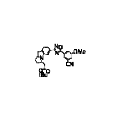 COc1cc(C#N)cc(-c2nc(-c3ccc4cc5n(c4c3)C(CC(=O)OC(C)(C)C)CC5)no2)c1